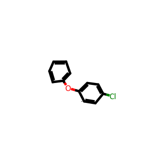 Clc1c[c]c(Oc2ccccc2)cc1